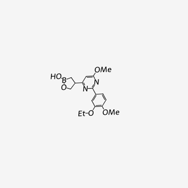 CCOc1cc(-c2nc(OC)cc(C3COB(O)C3)n2)ccc1OC